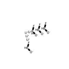 [Li+].[Li+].[Li+].[Li+].[O-]BF.[O-]BF.[O-]BF.[O-]BF